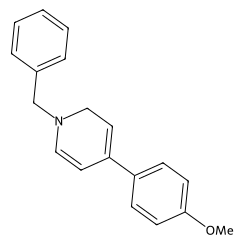 COc1ccc(C2=CCN(Cc3ccccc3)C=C2)cc1